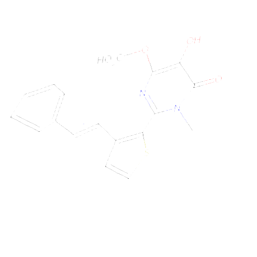 Cn1c(-c2sccc2/C=C/c2ccccc2)nc(OC(=O)O)c(O)c1=O